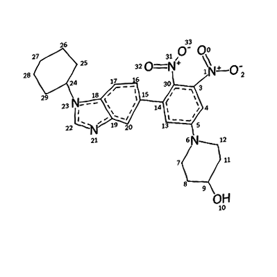 O=[N+]([O-])c1cc(N2CCC(O)CC2)cc(-c2ccc3c(c2)ncn3C2CCCCC2)c1[N+](=O)[O-]